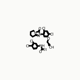 C#CCOc1cc(-n2nc3n(c2=O)CCCC3)c(Cl)cc1Cl.CCC(=O)Nc1ccc(Cl)c(Cl)c1